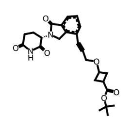 CC(C)(C)OC(=O)C1CC(OCC#Cc2cccc3c2CN([C@H]2CCC(=O)NC2=O)C3=O)C1